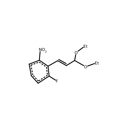 CCOC(/C=C/c1c(F)cccc1[N+](=O)[O-])OCC